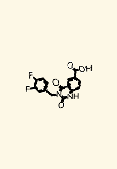 O=C(O)c1ccc2[nH]c(=O)n(Cc3ccc(F)c(F)c3)c(=O)c2c1